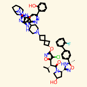 CC(C)[C@@H](C(=O)N1C[C@H](O)C[C@H]1C1=NO[C@](C)(c2ccc(-c3ccccc3F)cc2)N1)c1onc(O[C@H]2CC3(C2)C[C@H](N2CCC(c4cnc(N5C6CCC5CN(c5c[nH]c7nnc(-c8ccccc8O)cc57)C6)nc4)CC2)C3)c1Cl